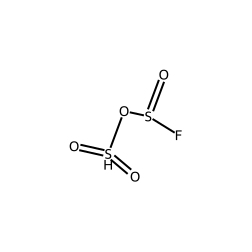 O=S(F)O[SH](=O)=O